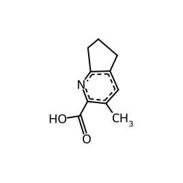 Cc1cc2c(nc1C(=O)O)CCC2